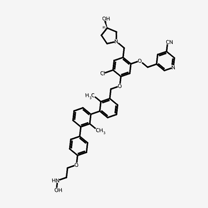 Cc1c(COc2cc(OCc3cncc(C#N)c3)c(CN3CC[C@@H](O)C3)cc2Cl)cccc1-c1cccc(-c2ccc(OCCNO)cc2)c1C